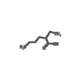 BCCCC(CC)C(=O)O